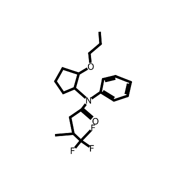 CCCOC1CCCC1N(C(=O)CC(C)C(F)(F)F)c1ccccc1